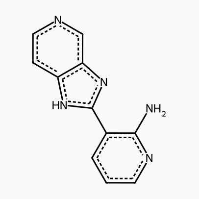 Nc1ncccc1-c1nc2cnccc2[nH]1